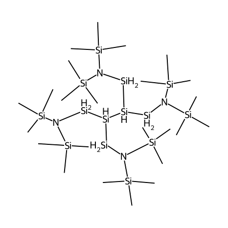 C[Si](C)(C)N([SiH2][SiH]([SiH2]N([Si](C)(C)C)[Si](C)(C)C)[SiH]([SiH2]N([Si](C)(C)C)[Si](C)(C)C)[SiH2]N([Si](C)(C)C)[Si](C)(C)C)[Si](C)(C)C